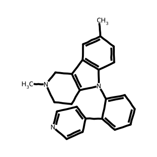 Cc1ccc2c(c1)c1c(n2-c2ccccc2-c2ccncc2)CCN(C)C1